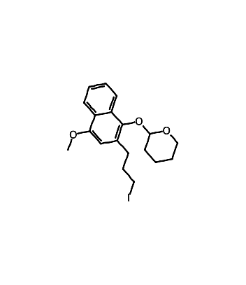 COc1cc(CCCI)c(OC2CCCCO2)c2ccccc12